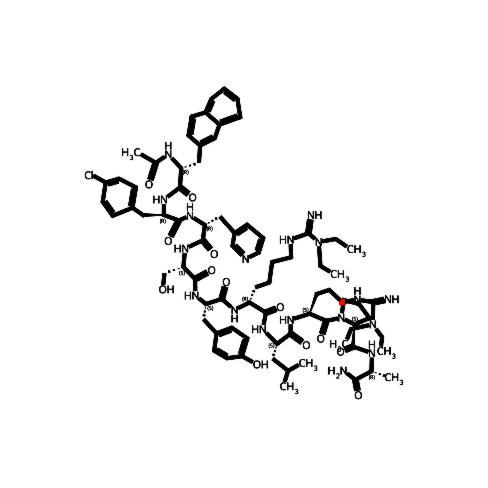 CCN(CC)C(=N)NCCCC[C@@H](NC(=O)[C@H](Cc1ccc(O)cc1)NC(=O)[C@H](CO)NC(=O)[C@@H](Cc1cccnc1)NC(=O)[C@@H](Cc1ccc(Cl)cc1)NC(=O)[C@@H](Cc1ccc2ccccc2c1)NC(C)=O)C(=O)N[C@@H](CC(C)C)C(=O)N[C@@H](CCCNC(=N)N(CC)CC)C(=O)N1CCC[C@H]1C(=O)N[C@H](C)C(N)=O